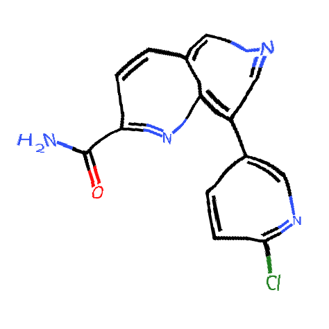 NC(=O)c1ccc2cncc(-c3ccc(Cl)nc3)c2n1